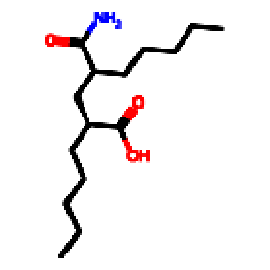 CCCCCC(C[C@H](CCCCC)C(=O)O)C(N)=O